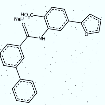 O=C(Nc1cc(-c2ccco2)ccc1C(=O)O)c1cncc(-c2ccccc2)c1.[NaH]